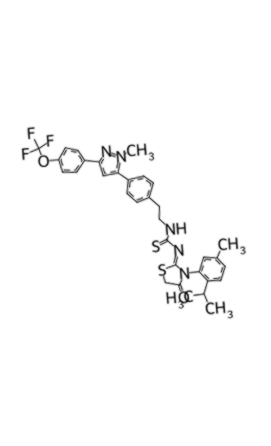 Cc1ccc(C(C)C)c(N2C(=O)CS/C2=N\C(=S)NCCc2ccc(-c3cc(-c4ccc(OC(F)(F)F)cc4)nn3C)cc2)c1